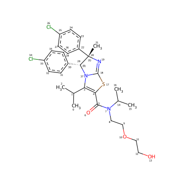 CC(C)C1=C(C(=O)N(CCOCCO)C(C)C)SC2=N[C@@](C)(c3ccc(Cl)cc3)[C@@H](c3ccc(Cl)cc3)N21